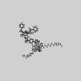 CCCCCCCCCC(=O)NC(O)(Cc1nnc(-c2ccc(C(=O)N3C[C@@H](C(=O)N[C@H]4C[C@@H]4c4ccccc4)[C@H](C(=O)N[C@H]4C[C@@H]4c4ccccc4)C3)cc2)s1)C(=O)NCCCCCC